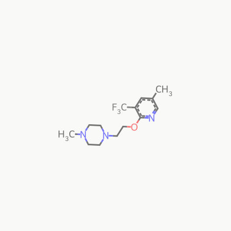 Cc1cnc(OCCN2CCN(C)CC2)c(C(F)(F)F)c1